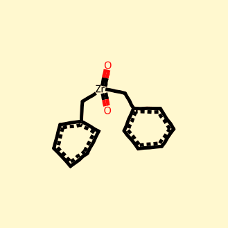 [O]=[Zr](=[O])([CH2]c1ccccc1)[CH2]c1ccccc1